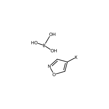 OB(O)O.[K][c]1cnoc1